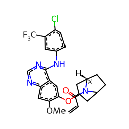 C=CC(=O)N1C2CC[C@H]1CC(Oc1cc3c(Nc4ccc(Cl)c(C(F)(F)F)c4)ncnc3cc1OC)C2